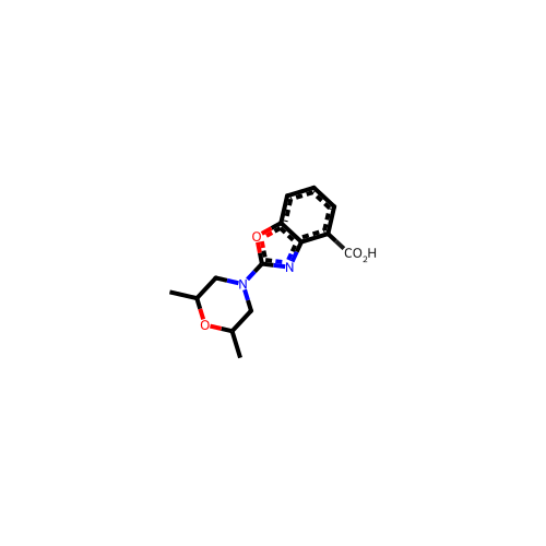 CC1CN(c2nc3c(C(=O)O)cccc3o2)CC(C)O1